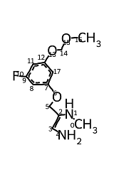 CN/C(=C\N)COc1cc(F)cc(OCOC)c1